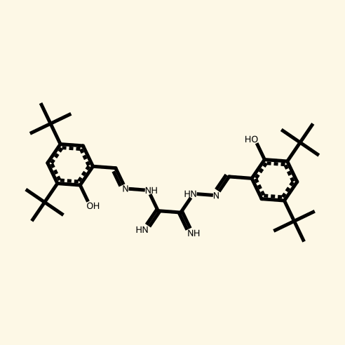 CC(C)(C)c1cc(/C=N/NC(=N)C(=N)N/N=C/c2cc(C(C)(C)C)cc(C(C)(C)C)c2O)c(O)c(C(C)(C)C)c1